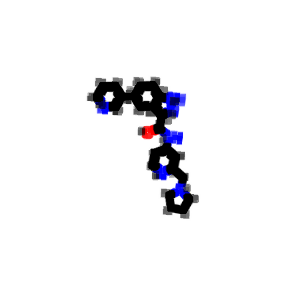 O=C(Nc1ccnc(CN2CCCC2)c1)c1n[nH]c2ccc(-c3cccnc3)cc12